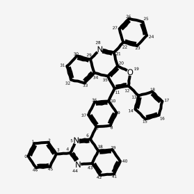 c1ccc(-c2nc(-c3ccc(-c4c(-c5ccccc5)oc5c(-c6ccccc6)nc6ccccc6c45)cc3)c3ccccc3n2)cc1